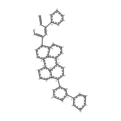 C=C/C(=C\C(=C/C)c1ccc2c3cccc4c(-c5cncc(-c6ccccc6)c5)ccc(c5cccc1c25)c43)c1ccccc1